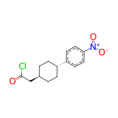 O=C(Cl)C[C@H]1CC[C@H](c2ccc([N+](=O)[O-])cc2)CC1